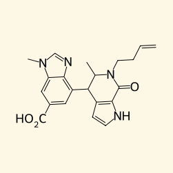 C=CCCN1C(=O)c2[nH]ccc2C(c2cc(C(=O)O)cc3c2ncn3C)C1C